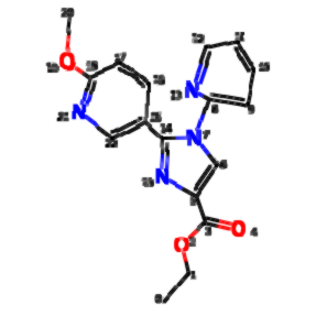 CCOC(=O)c1cn(-c2ccccn2)c(-c2ccc(OC)nc2)n1